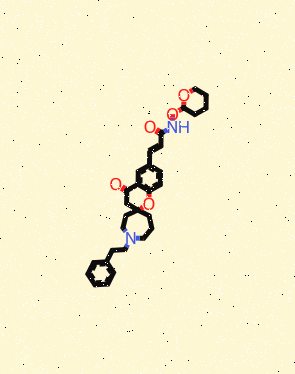 O=C(C=Cc1ccc2c(c1)C(=O)CC1(CCCN(CCc3ccccc3)CC1)O2)NOC1CCCCO1